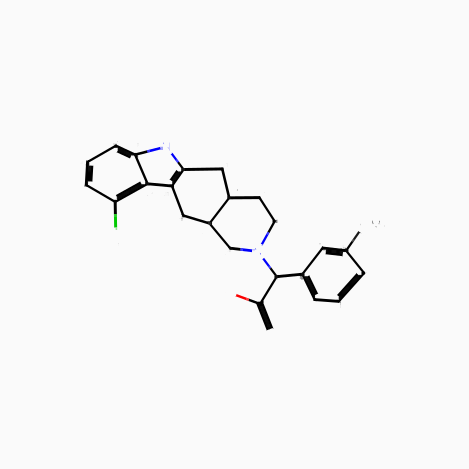 C=C(O)C(c1cccc(OC)c1)N1CCC2Cc3[nH]c4cccc(Cl)c4c3CC2C1